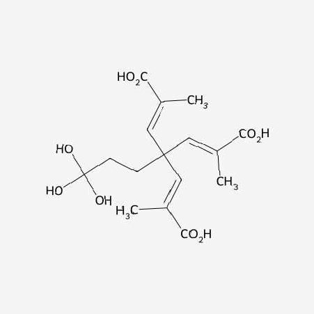 CC(=CC(C=C(C)C(=O)O)(C=C(C)C(=O)O)CCC(O)(O)O)C(=O)O